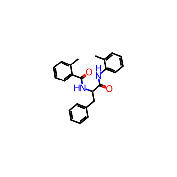 Cc1ccccc1NC(=O)C(Cc1ccccc1)NC(=O)c1ccccc1C